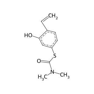 C=Cc1ccc(SC(=O)N(C)C)cc1O